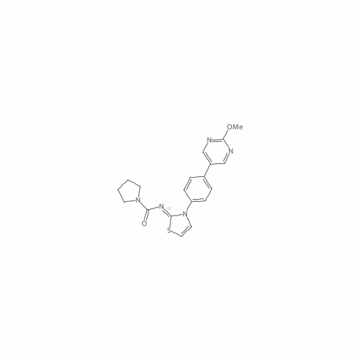 COc1ncc(-c2ccc(-n3ccs/c3=N\C(=O)N3CCCC3)cc2)cn1